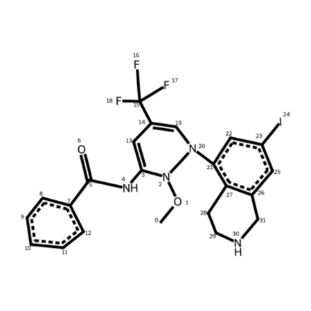 CON1C(NC(=O)c2ccccc2)=CC(C(F)(F)F)=CN1c1cc(I)cc2c1CCNC2